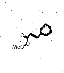 COOC(=O)C=Cc1ccccc1